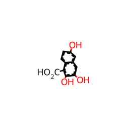 O=C(O)c1c(O)c(O)cc2cc(O)ccc12